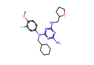 COc1ccc(N(CC2CCCCC2)c2nc(N)nc(NCC3CCCO3)n2)cc1F